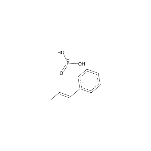 CC=Cc1ccccc1.O=[PH](O)O